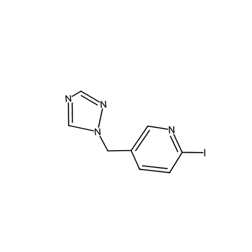 Ic1ccc(Cn2cncn2)cn1